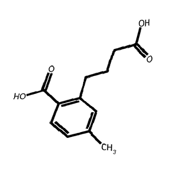 Cc1ccc(C(=O)O)c(CCCC(=O)O)c1